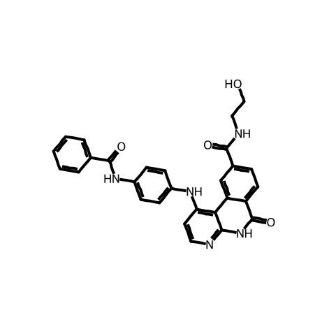 O=C(NCCO)c1ccc2c(=O)[nH]c3nccc(Nc4ccc(NC(=O)c5ccccc5)cc4)c3c2c1